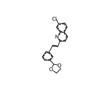 Clc1ccc2ccc(C=Cc3cccc(C4OCCO4)c3)nc2c1